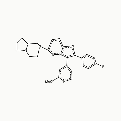 COc1cc(-c2c(-c3ccc(F)cc3)nc3ccc(N4CCN5CCCC5C4)nn23)ccn1